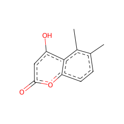 Cc1ccc2oc(=O)cc(O)c2c1C